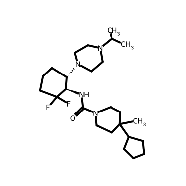 CC(C)N1CCN([C@H]2CCCC(F)(F)[C@@H]2NC(=O)N2CCC(C)(C3CCCC3)CC2)CC1